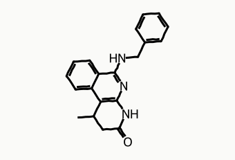 CC1CC(=O)Nc2nc(NCc3ccccc3)c3ccccc3c21